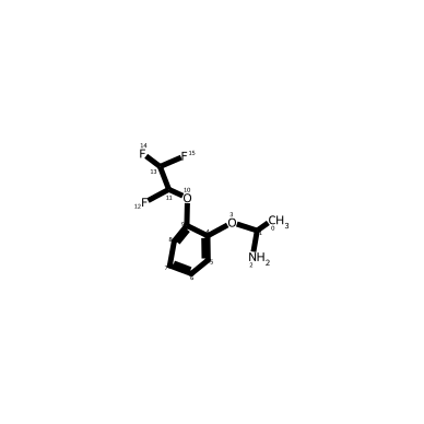 CC(N)Oc1ccccc1OC(F)C(F)F